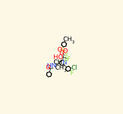 Cc1ccc(S(=O)(=O)OCC(O)(c2cc(C(C)(C)NCC(=O)c3ccccc3)cc(-c3ccc(F)c(Cl)c3)n2)C(F)(F)F)cc1